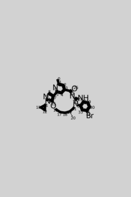 Cc1cc2cc(n1)-c1cnn(C3CC3)c1OCCC[C@@H](C)CN1/C(=N/C2=O)Nc2ccc(Br)cc21